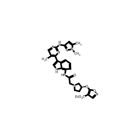 CCOC(=O)c1cnoc1O[C@H]1CCN(CC(=O)Nc2cccc3c(-c4nc(Nc5cc(C)n(C)n5)ncc4C)c[nH]c23)C1